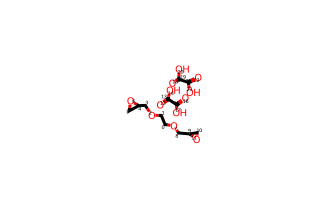 C(COCC1CO1)OCC1CO1.O=C(O)C(=O)O.O=C(O)C(=O)O